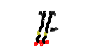 CCCCCCCCSCCC(=O)[O-].CCCCCCCCSCCC(=O)[O-].[Zn+2]